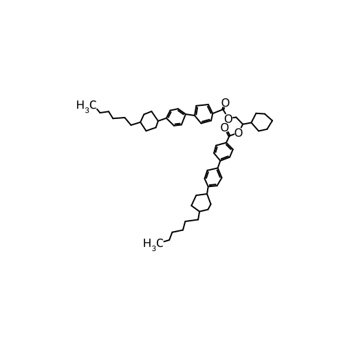 CCCCCCC1CCC(c2ccc(-c3ccc(C(=O)OCC(OC(=O)c4ccc(-c5ccc(C6CCC(CCCCCC)CC6)cc5)cc4)C4CCCCC4)cc3)cc2)CC1